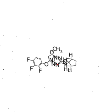 COc1cc(N2C[C@H]3CC[C@@H](C2)[C@@H]3Nc2nc3n(n2)CC[C@@H]3Oc2ccc(F)c(F)c2F)cnn1